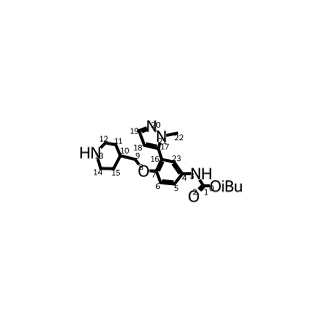 CC(C)COC(=O)Nc1ccc(OCC2CCNCC2)c(-c2ccnn2C)c1